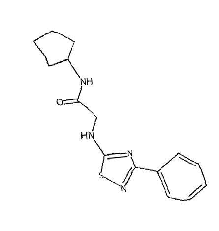 O=C(CNc1nc(-c2ccccc2)ns1)NC1CCCC1